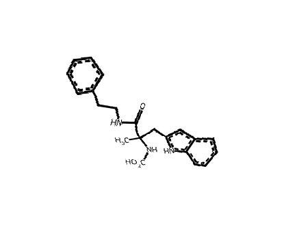 CC(Cc1cc2ccccc2[nH]1)(NC(=O)O)C(=O)NCCc1ccccc1